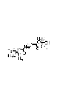 CC(C)(C)OC(=O)N=CNC(=O)OC(C)(C)C